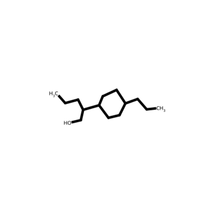 CCCC1CCC(C(CO)CCC)CC1